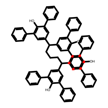 Oc1c(-c2ccccc2)cc(C(CCCC(c2cc(-c3ccccc3)c(O)c(-c3ccccc3)c2)c2cc(-c3ccccc3)c(O)c(-c3ccccc3)c2)c2cc(-c3ccccc3)c(O)c(-c3ccccc3)c2)cc1-c1ccccc1